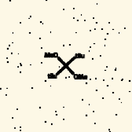 COC(OC)(C(C)(C)C)C(C)(C)C